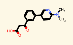 CN(C)c1ccc(-c2cccc(C(=O)CC(=O)O)c2)cn1